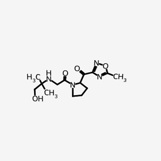 Cc1nc(C(=O)C2CCCN2C(=O)CNC(C)(C)CO)no1